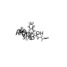 C#CCCCC(O)C(O)C(Cc1ccccc1)NC(=O)c1csc(NS(C)(=O)=O)n1